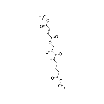 COC(=O)/C=C/C(=O)OCC(=O)C(=O)NCCCC(=O)OC